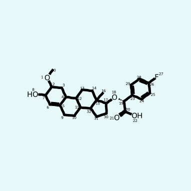 COC1CC2C(=CC1O)CCC1C2CCC2(C)C(O[C@@H](C(=O)O)c3ccc(F)cc3)CCC12